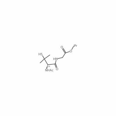 CC(=O)N[C@H](C(=O)NCC(=O)OC(C)C)C(C)(C)S